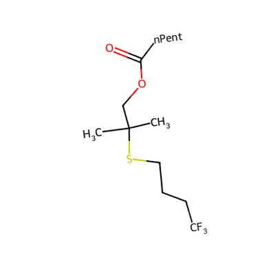 CCCCCC(=O)OCC(C)(C)SCCCC(F)(F)F